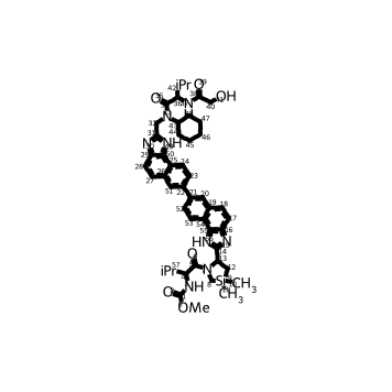 COC(=O)NC(C(=O)N1C[Si](C)(C)CC1c1nc2ccc3cc(-c4ccc5c(ccc6nc(CN(C(=O)C(NC(=O)CO)C(C)C)C7CCCCC7)[nH]c65)c4)ccc3c2[nH]1)C(C)C